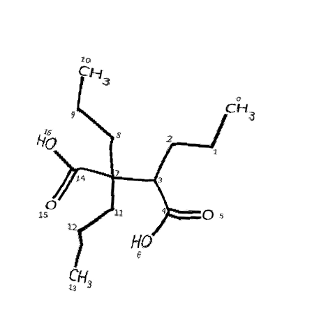 CCCC(C(=O)O)C(CCC)(CCC)C(=O)O